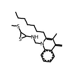 C=C1C(C)=C(CCCCCCC)N(CNC2SC2SC)c2ccccc21